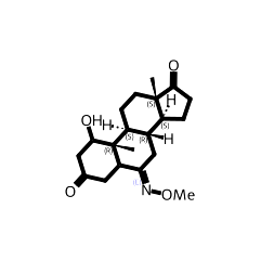 CO/N=C1\C[C@@H]2[C@H](CC[C@]3(C)C(=O)CC[C@@H]23)[C@@]2(C)C(O)CC(=O)CC12